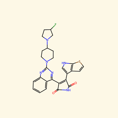 O=C1NC(=O)C(c2c[nH]c3sccc23)=C1c1nc(N2CCC(N3CCC(F)C3)CC2)nc2ccccc12